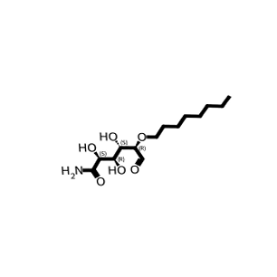 CCCCCCCCO[C@@H](C=O)[C@@H](O)[C@@H](O)[C@H](O)C(N)=O